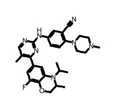 Cc1cnc(Nc2ccc(N3CCN(C)CC3)c(C#N)c2)nc1-c1cc(F)c2c(c1)N(C(C)C)C(C)CO2